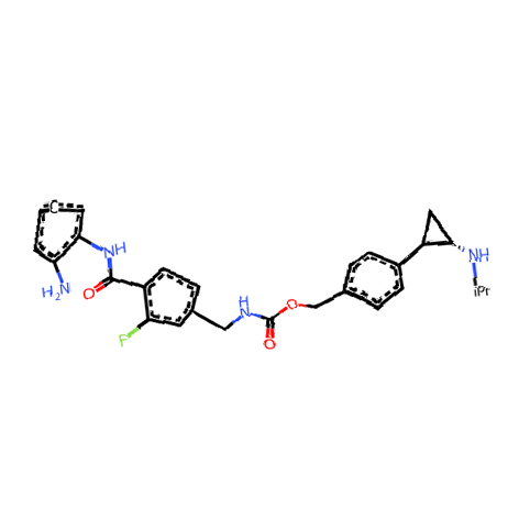 CC(C)N[C@H]1CC1c1ccc(COC(=O)NCc2ccc(C(=O)Nc3ccccc3N)c(F)c2)cc1